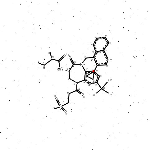 CN[C@@H](C)C(=O)N[C@H]1CN(C(=O)CCS(C)(=O)=O)c2cc(C(F)(F)F)ccc2N(Cc2c(C3CC3)cnc3ccccc23)C1=O